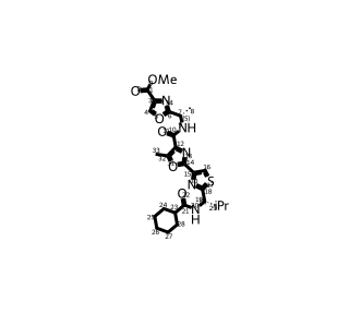 COC(=O)c1coc([C@H](C)NC(=O)c2nc(-c3csc([C@@H](NC(=O)C4CCCCC4)C(C)C)n3)oc2C)n1